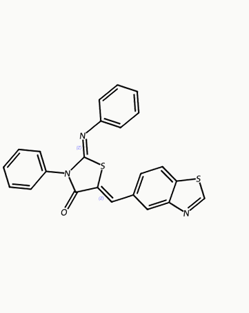 O=C1/C(=C/c2ccc3scnc3c2)S/C(=N\c2ccccc2)N1c1ccccc1